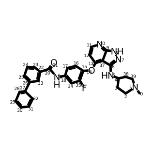 CN1CCC(Nc2n[nH]c3nccc(Oc4ccc(NC(=O)c5cccc(-c6ccccc6)c5)cc4F)c23)CC1